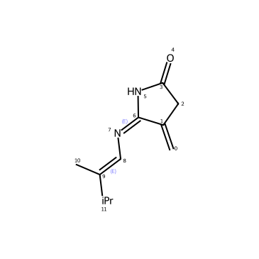 C=C1CC(=O)N/C1=N/C=C(\C)C(C)C